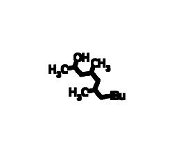 CCC(C)CC(C)CC(C)CC(C)O